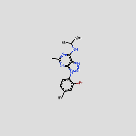 CCCCC(CC)Nc1nc(C)nc2c1nnn2-c1ccc(C(C)C)cc1Br